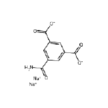 NC(=O)c1cc(C(=O)[O-])cc(C(=O)[O-])c1.[Na+].[Na+]